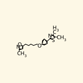 Cc1cc(CCCCCOc2ccc(-c3nc(C)c(C)s3)cc2)on1